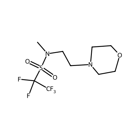 CN(CCN1CCOCC1)S(=O)(=O)C(F)(F)C(F)(F)F